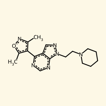 Cc1noc(C)c1-c1ncnc2c1cnn2CCN1CCCCC1